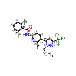 CCn1nc(C(F)(F)F)cc1-c1ccc(NC(=O)c2c(F)cccc2F)nc1F